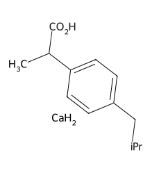 CC(C)Cc1ccc(C(C)C(=O)O)cc1.[CaH2]